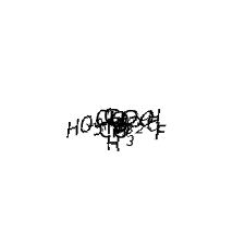 CC(C)(SCCO)C(NS(=O)(=O)c1ccc(Oc2ccc(F)cc2)cc1)C(=O)O